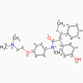 CC/C(=C(\C(=O)N(C)c1ccc(OCCN(C)C)cc1)c1ccc(O)cc1)c1ccccc1